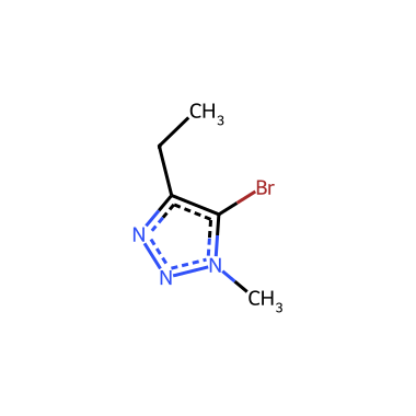 CCc1nnn(C)c1Br